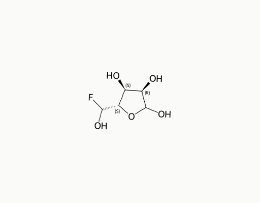 OC(F)[C@H]1OC(O)[C@H](O)[C@@H]1O